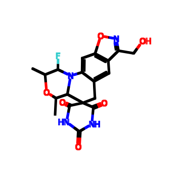 CC1OC(C)C2N(c3cc4onc(CO)c4cc3CC23C(=O)NC(=O)NC3=O)C1F